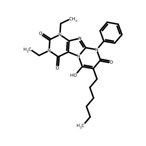 CCCCCCc1c(O)n2c3c(=O)n(CC)c(=O)n(CC)c3nc2n(-c2ccccc2)c1=O